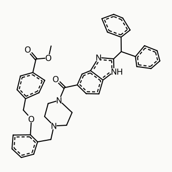 COC(=O)c1ccc(COc2ccccc2CN2CCN(C(=O)c3ccc4[nH]c(C(c5ccccc5)c5ccccc5)nc4c3)CC2)cc1